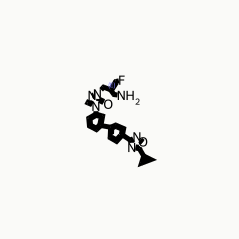 NC/C(=C\F)Cn1ncn(-c2cccc(-c3ccc(-c4noc(C5CC5)n4)cc3)c2)c1=O